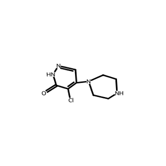 O=c1[nH]ncc(N2CCNCC2)c1Cl